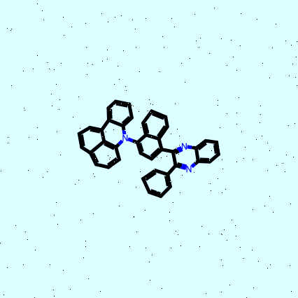 c1ccc(-c2nc3ccccc3nc2-c2ccc(N3c4ccccc4-c4cccc5cccc3c45)c3ccccc23)cc1